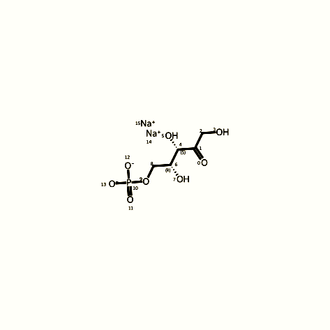 O=C(CO)[C@@H](O)[C@H](O)COP(=O)([O-])[O-].[Na+].[Na+]